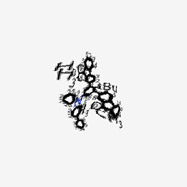 CC(C)(C)c1c(-c2ccc3c(c2)C(C)(C)c2ccccc2-3)cc(N(c2ccccc2)c2ccc(-c3ccccc3)cc2)cc1-c1ccc2c(c1)C(C)(C)c1ccccc1-2